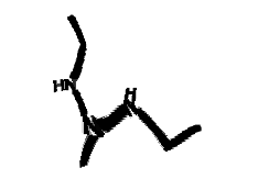 CCNN(C)NCC